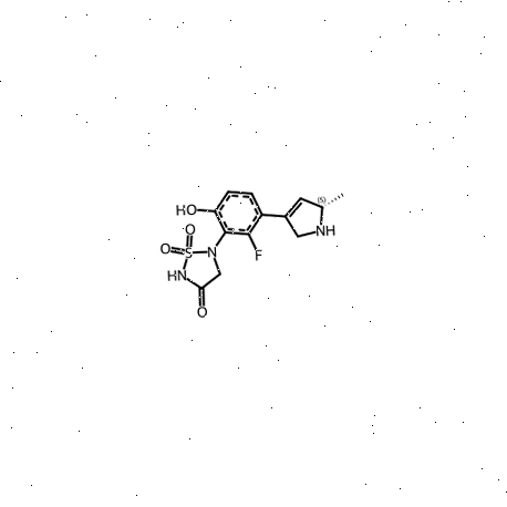 C[C@H]1C=C(c2ccc(O)c(N3CC(=O)NS3(=O)=O)c2F)CN1